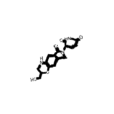 O=C1CCC(N2Cc3cc4c(cc3C2=O)NCC(CO)O4)C(=O)N1